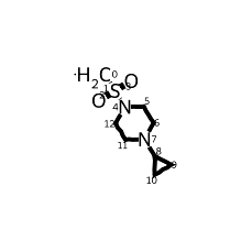 [CH2]S(=O)(=O)N1CCN(C2CC2)CC1